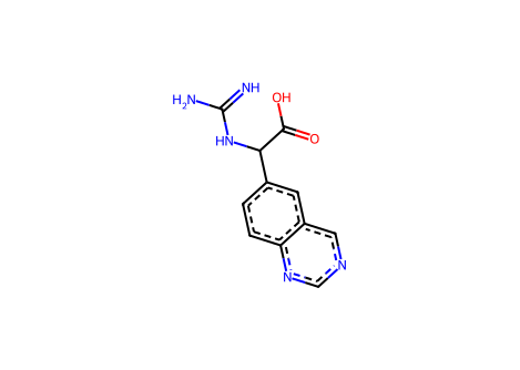 N=C(N)NC(C(=O)O)c1ccc2ncncc2c1